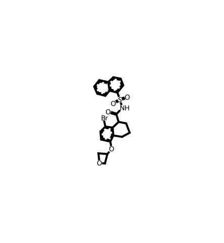 O=C(NS(=O)(=O)c1cccc2ccccc12)C1CCCc2c(OC3COC3)ccc(Br)c21